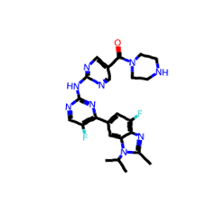 Cc1nc2c(F)cc(-c3nc(Nc4ncc(C(=O)N5CCNCC5)cn4)ncc3F)cc2n1C(C)C